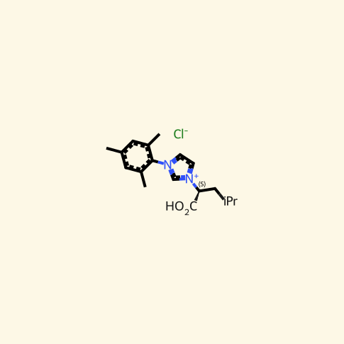 Cc1cc(C)c(-n2cc[n+]([C@@H](CC(C)C)C(=O)O)c2)c(C)c1.[Cl-]